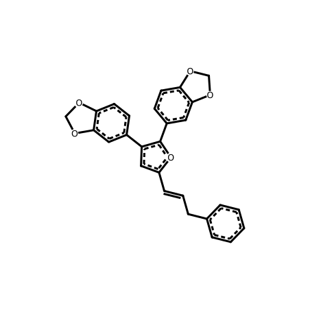 C(=C\c1cc(-c2ccc3c(c2)OCO3)c(-c2ccc3c(c2)OCO3)o1)/Cc1ccccc1